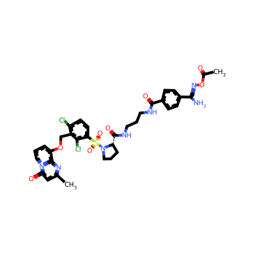 CC(=O)ON=C(N)c1ccc(C(=O)NCCCNC(=O)[C@@H]2CCCN2S(=O)(=O)c2ccc(Cl)c(COc3cccn4c(=O)cc(C)nc34)c2Cl)cc1